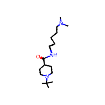 CN(C)CCCCCNC(=O)C1CCN(C(C)(C)C)CC1